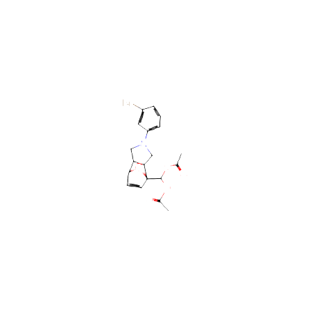 CC(=O)OC(OC(C)=O)C12C=CC(O1)C1CN(c3cccc(Br)c3)CC12